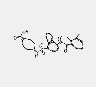 CCCC(=O)N1CCC(NS(=O)(=O)c2ccc(NC(=O)c3cccc(C)c3C)c3ccccc23)CC1